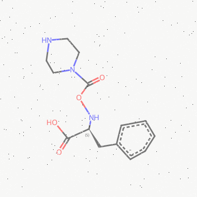 O=C(O)[C@H](Cc1ccccc1)NOC(=O)N1CCNCC1